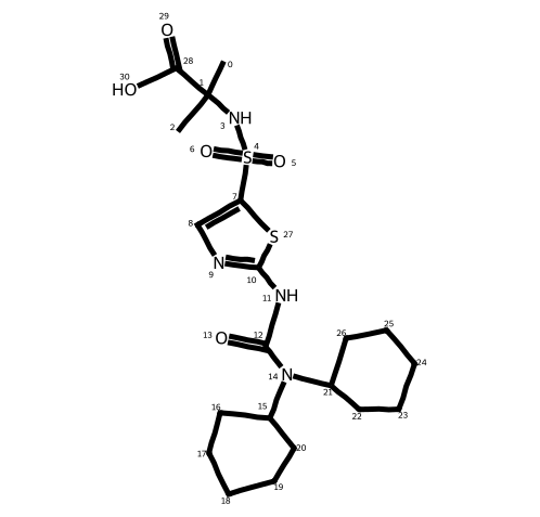 CC(C)(NS(=O)(=O)c1cnc(NC(=O)N(C2CCCCC2)C2CCCCC2)s1)C(=O)O